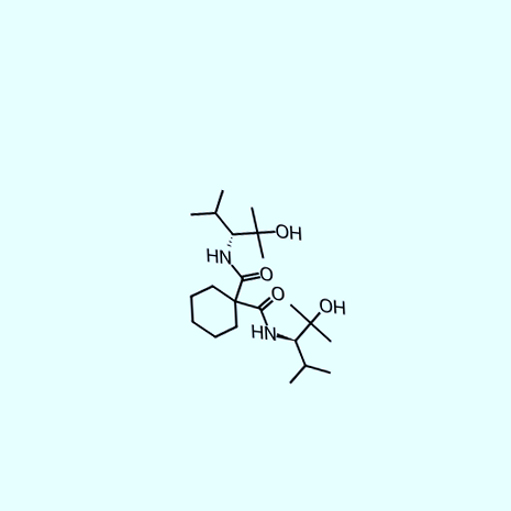 CC(C)[C@@H](NC(=O)C1(C(=O)N[C@H](C(C)C)C(C)(C)O)CCCCC1)C(C)(C)O